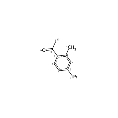 Cc1cc(C(C)C)ccc1C(=O)I